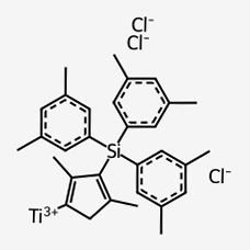 CC1=C([Si](c2cc(C)cc(C)c2)(c2cc(C)cc(C)c2)c2cc(C)cc(C)c2)C(C)=[C]([Ti+3])C1.[Cl-].[Cl-].[Cl-]